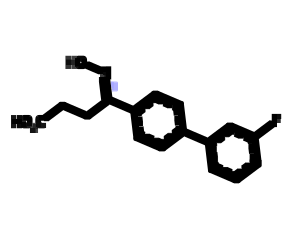 O=C(O)CC/C(=N\O)c1ccc(-c2cccc(F)c2)cc1